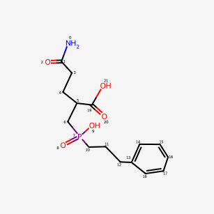 NC(=O)CCC(CP(=O)(O)CCCc1ccccc1)C(=O)O